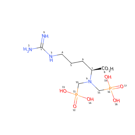 N=C(N)NCCC[C@@H](C(=O)O)N(CP(=O)(O)O)CP(=O)(O)O